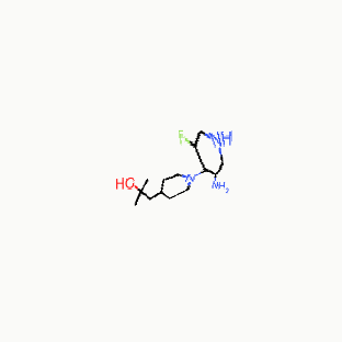 CC(C)(O)CC1CCN(C2C(N)CNCC2F)CC1